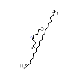 CC/C=C\CC[O].CCCCCCCCCCCCCCCCCC[SiH3]